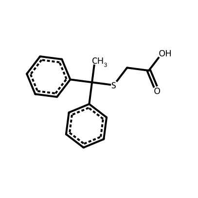 CC(SCC(=O)O)(c1ccccc1)c1ccccc1